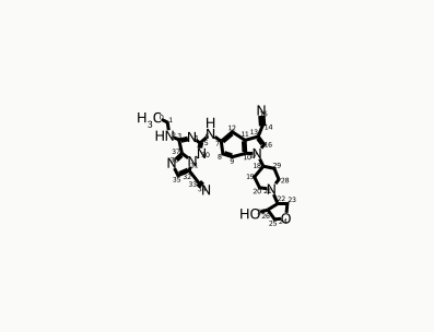 CCNc1nc(Nc2ccc3c(c2)c(C#N)cn3C2CCN(C3COCC3O)CC2)nn2c(C#N)cnc12